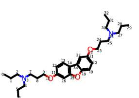 CCCN(CCC)CCCOc1ccc2c(c1)oc1ccc(OCCCN(CCC)CCC)cc12